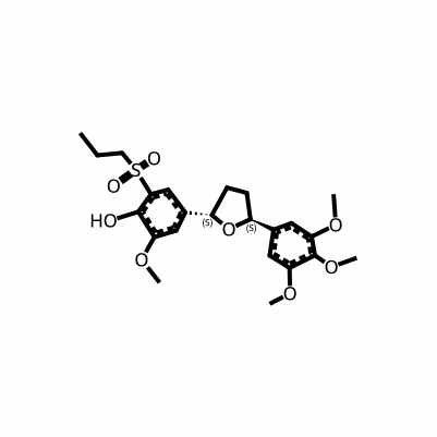 CCCS(=O)(=O)c1cc([C@@H]2CC[C@@H](c3cc(OC)c(OC)c(OC)c3)O2)cc(OC)c1O